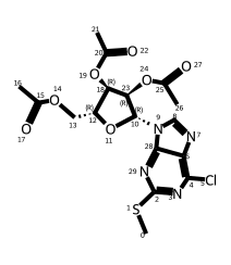 CSc1nc(Cl)c2ncn([C@@H]3O[C@H](COC(C)=O)[C@@H](OC(C)=O)[C@H]3OC(C)=O)c2n1